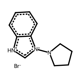 [Br-].c1ccc2c(c1)[nH]c[n+]2N1CCCC1